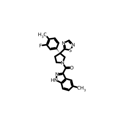 Cc1ccc2[nH]nc(C(=O)N3CC[C@@](c4ccc(C)c(F)c4)(c4ncns4)C3)c2c1